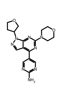 Nc1ncc(-c2nc(N3CCOCC3)nc3c2cnn3C2CCOC2)cn1